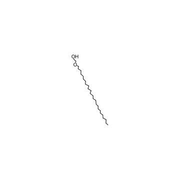 CCCCCCCCCCCCCCCCCCCCCCCCCOCCO